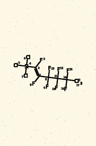 FC(=C(F)[Si](Cl)(Cl)Cl)C(F)(F)C(F)(F)C(F)(F)C(F)(F)F